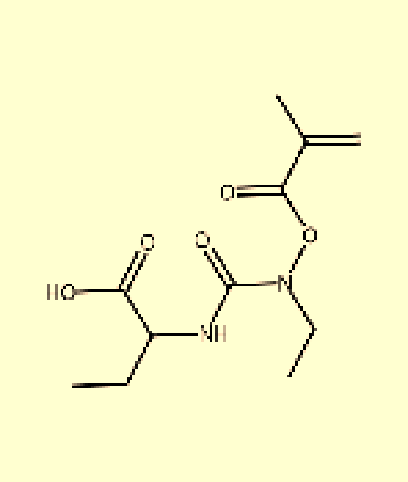 C=C(C)C(=O)ON(CC)C(=O)NC(CC)C(=O)O